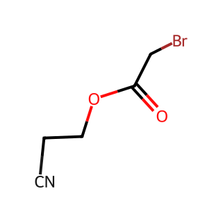 N#CCCOC(=O)CBr